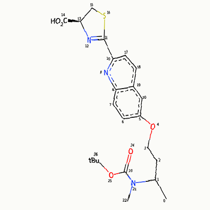 CC(CCOc1ccc2nc(C3=N[C@@H](C(=O)O)CS3)ccc2c1)N(C)C(=O)OC(C)(C)C